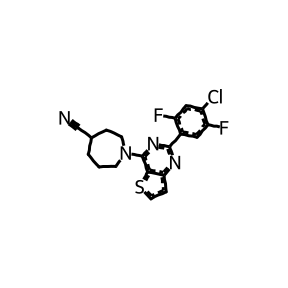 N#CC1CCCN(c2nc(-c3cc(F)c(Cl)cc3F)nc3ccsc23)CC1